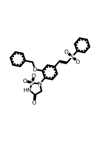 O=C1CN(c2ccc(C=CS(=O)(=O)c3ccccc3)cc2OCc2ccccc2)S(=O)(=O)N1